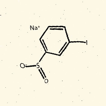 O=S([O-])c1cccc(I)c1.[Na+]